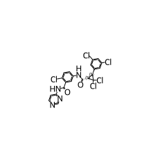 O=C(Nc1ccncn1)c1cc(NC(=O)[C@@H]2[C@@H](c3cc(Cl)cc(Cl)c3)C2(Cl)Cl)ccc1Cl